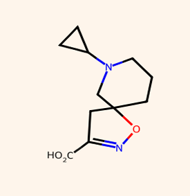 O=C(O)C1=NOC2(CCCN(C3CC3)C2)C1